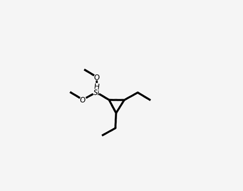 CCC1C(CC)C1[SiH](OC)OC